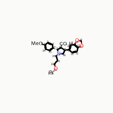 COc1ccc([C@@H]2[C@@H](C(=O)O)C(c3ccc4c(c3)OCO4)CN2CCCOC(C)C)cc1